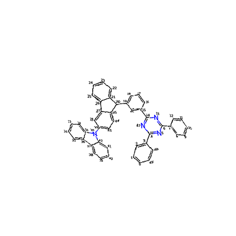 c1ccc(-c2nc(-c3ccccc3)nc(-c3cccc(C4c5ccccc5-c5cc(-n6c7ccccc7c7ccccc76)ccc54)c3)n2)cc1